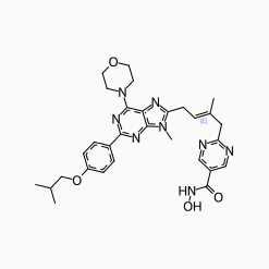 C/C(=C\Cc1nc2c(N3CCOCC3)nc(-c3ccc(OCC(C)C)cc3)nc2n1C)Cc1ncc(C(=O)NO)cn1